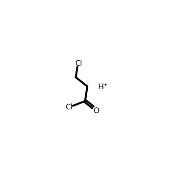 O=C(Cl)CCCl.[H+]